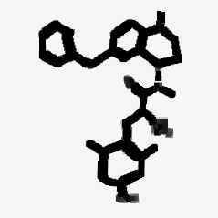 Cc1cc(O)cc(C)c1C[C@H](N)C(=O)N(C)[C@H]1CCNc2ccc(Cc3ccccc3)cc21